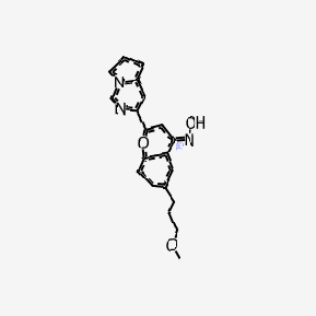 COCCCc1ccc2oc(-c3cc4cccn4cn3)c/c(=N\O)c2c1